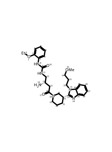 CCOc1ccccc1NC(=O)NC[C@@H](N)CC(=O)N1CCC[C@@H](c2nc3ccccc3n2CCCOC)C1